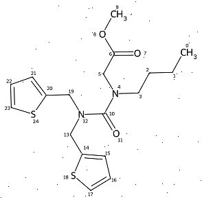 CCCCN(CC(=O)OC)C(=O)N(Cc1cccs1)Cc1cccs1